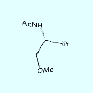 COC[C@H](NC(C)=O)C(C)C